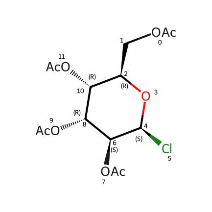 CC(=O)OC[C@H]1O[C@@H](Cl)[C@@H](OC(C)=O)[C@H](OC(C)=O)[C@@H]1OC(C)=O